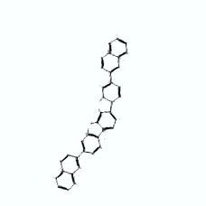 C1=CC2c3ccc4c(oc5cc(-c6ccc7ccccc7c6)ccc54)c3OC2C=C1c1ccc2ccccc2c1